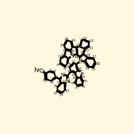 N#Cc1ccc(-c2nc(-c3ccc(-n4c5ccccc5c5c6ccccc6c6c7cccc8c9ccccc9n(c87)c6c54)c4sc5ccccc5c34)nc3ccccc23)cc1